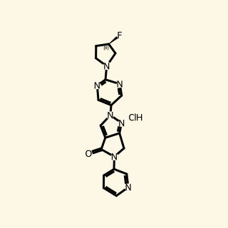 Cl.O=C1c2cn(-c3cnc(N4CC[C@@H](F)C4)nc3)nc2CN1c1cccnc1